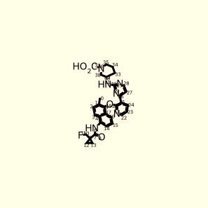 Cc1ccc2c(NC(=O)C3(CF)CC3)cccc2c1Oc1ncccc1-c1ccnc(N[C@H]2CCCN(C(=O)O)C2)n1